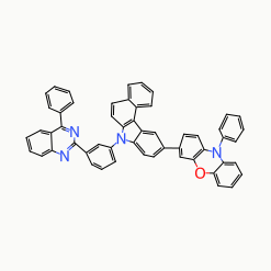 c1ccc(-c2nc(-c3cccc(-n4c5ccc(-c6ccc7c(c6)Oc6ccccc6N7c6ccccc6)cc5c5c6ccccc6ccc54)c3)nc3ccccc23)cc1